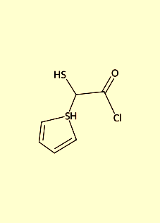 O=C(Cl)C(S)[SH]1C=CC=C1